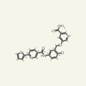 NC(=O)c1cncc(OCc2cc(NC(=O)c3ccc(-c4cccs4)nc3)ccc2Cl)c1